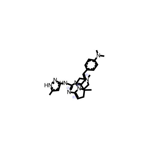 Cc1cc(NC2=N/C(N3CCN(C)CC3)=C/CC(C)C(/C=C/c3ccc(N(C)C)cc3)=N\2)n[nH]1